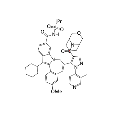 COc1ccc2c(c1)C=C(c1c(C(=O)N3C4COCC3COC4)cnn1-c1ccncc1C)Cn1c-2c(C2CCCCC2)c2ccc(C(=O)NS(=O)(=O)C(C)C)cc21